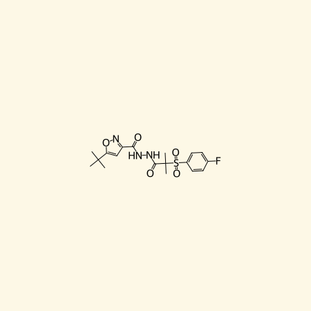 CC(C)(C)c1cc(C(=O)NNC(=O)C(C)(C)S(=O)(=O)c2ccc(F)cc2)no1